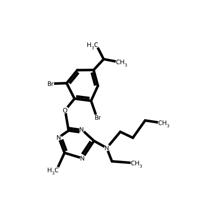 CCCCN(CC)c1nc(C)nc(Oc2c(Br)cc(C(C)C)cc2Br)n1